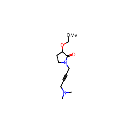 COCOC1CCN(CC#CCN(C)C)C1=O